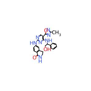 Cc1noc(-c2cnc(Nc3ccc4c(c3)CCNC4=O)nc2NC(CO)c2ccccc2)n1